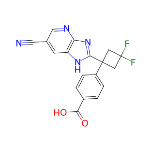 N#Cc1cnc2nc(C3(c4ccc(C(=O)O)cc4)CC(F)(F)C3)[nH]c2c1